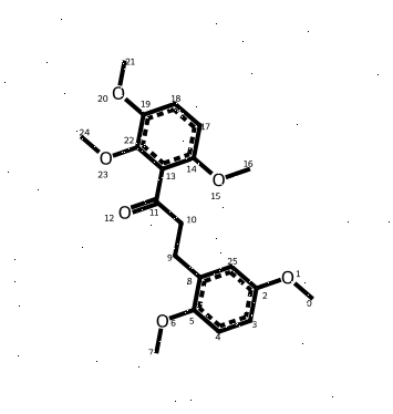 COc1ccc(OC)c(CCC(=O)c2c(OC)ccc(OC)c2OC)c1